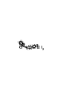 COc1ccc(C2CCN(CCCn3nc4ccccn4c3=O)CC2)cc1